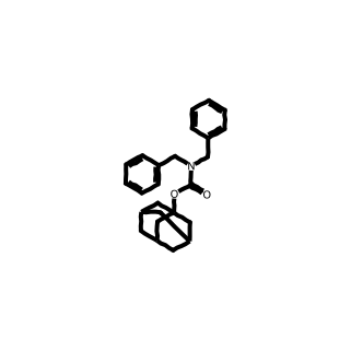 O=C(OC12CC3CC(CC(C3)C1)C2)N(Cc1ccccc1)Cc1ccccc1